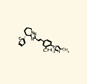 Cc1cn(-c2ccc(/C=C/c3nc4n(n3)CCC[C@H]4c3cccs3)cc2C)cn1